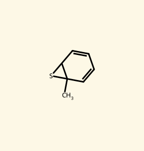 CC12C=CC=CC1S2